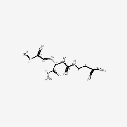 COC(=O)CCNC(=O)N[C@@H](CCC(=O)OC(C)(C)C)C(=O)OC(C)(C)C